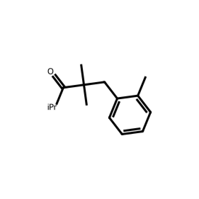 Cc1ccccc1CC(C)(C)C(=O)C(C)C